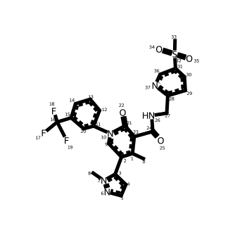 Cc1c(-c2ccnn2C)cn(-c2cccc(C(F)(F)F)c2)c(=O)c1C(=O)NCc1ccc(S(C)(=O)=O)cn1